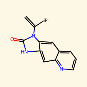 C=C(C(C)C)n1c(=O)[nH]c2cc3ncccc3cc21